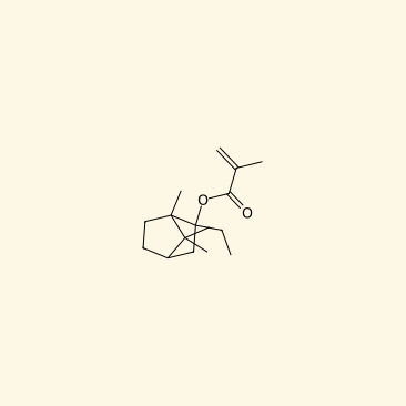 C=C(C)C(=O)OC1(CC)CC2CCC1(C)C2(C)C